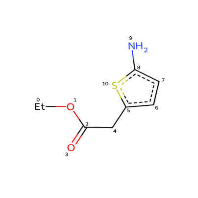 CCOC(=O)Cc1ccc(N)s1